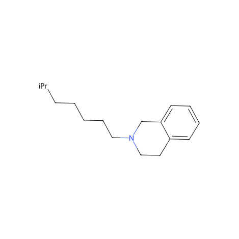 CC(C)CCCCCN1CCc2ccccc2C1